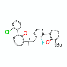 CC(C)(C)c1ccccc(-c2cccc(CC(C)(C)c3ccccc(-c4ccccc4Cl)c3=O)c2F)c1=O